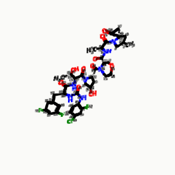 C[C@H]1CN(C(=O)[C@H](C)NC(=O)[C@@H]2COCCN2C(=O)[C@@H]2C[C@@H](O)CN2C(=O)[C@@H](NC(=O)[C@H](Cc2cc(F)cc(F)c2)NC(=O)Nc2ccc(Cl)cc2F)[C@H](C)O)[C@]2(CC2=O)C1